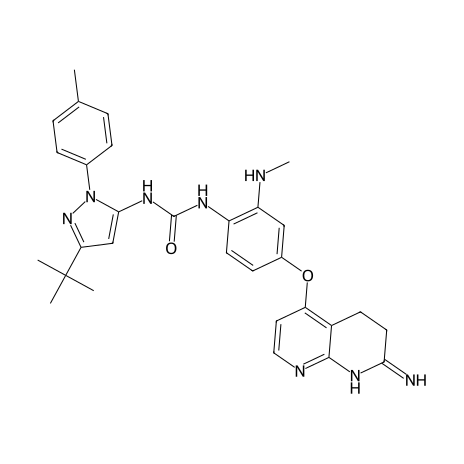 CNc1cc(Oc2ccnc3c2CCC(=N)N3)ccc1NC(=O)Nc1cc(C(C)(C)C)nn1-c1ccc(C)cc1